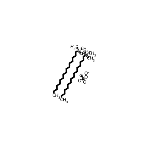 CCCCCCCCCCCCCCCC[N+](C)(C)C.CCCCCCCCCCCCCCCC[N+](C)(C)C.O=S(=O)([O-])O[O-]